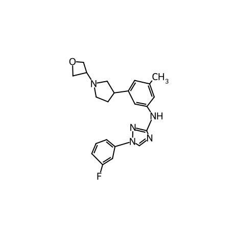 Cc1cc(Nc2ncn(-c3cccc(F)c3)n2)cc(C2CCN(C3COC3)C2)c1